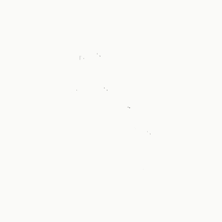 O=C(NC1CCCC1)O[C@H]1CCN(c2cn[nH]c(=O)c2Cl)C1